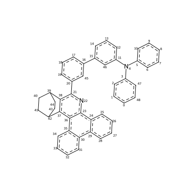 c1ccc(N(c2ccccc2)c2cccc(-c3cccc(-c4nc5c6ccccc6c6ccccc6c5c5c4C4CCC5CC4)c3)c2)cc1